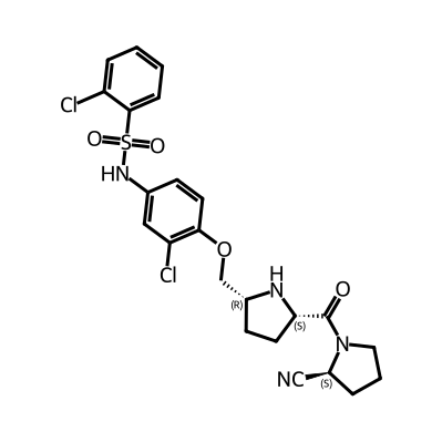 N#C[C@@H]1CCCN1C(=O)[C@@H]1CC[C@H](COc2ccc(NS(=O)(=O)c3ccccc3Cl)cc2Cl)N1